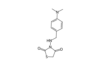 CN(C)c1ccc(CNN2C(=O)CSC2=O)cc1